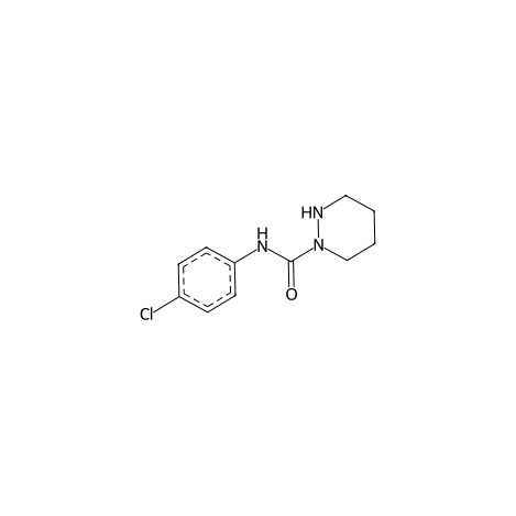 O=C(Nc1ccc(Cl)cc1)N1CCCCN1